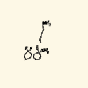 C#CC1(N)CCCCC1.CCCCCCN.FC1(F)CC[CH]CC1